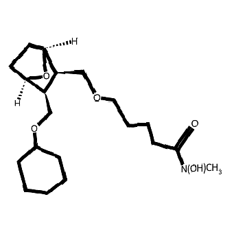 CN(O)C(=O)CCCCOC[C@H]1[C@@H](COC2CCCCC2)[C@H]2CC[C@@H]1O2